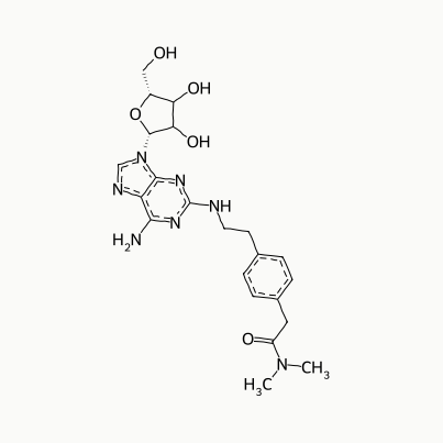 CN(C)C(=O)Cc1ccc(CCNc2nc(N)c3ncn([C@@H]4O[C@H](CO)C(O)C4O)c3n2)cc1